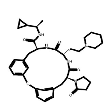 C[C@@H](NC(=O)[C@@H]1Cc2cccc(c2)Oc2cccc(c2)C[C@H](N2CCCC2=O)C(=O)N[C@@H](CCN2CCCCC2)C(=O)N1)C1CC1